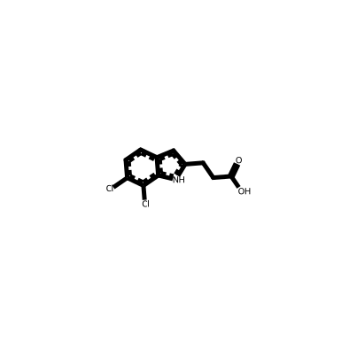 O=C(O)CCc1cc2ccc(Cl)c(Cl)c2[nH]1